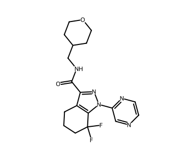 O=C(NCC1CCOCC1)c1nn(-c2cnccn2)c2c1CCCC2(F)F